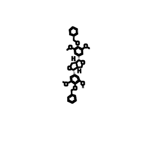 COc1cc([C@@H]2OC[C@@H]3[C@H]2CO[C@H]3c2cc(OC)c(OCc3ccccc3)c(OC)c2)cc(OC)c1OCc1ccccc1